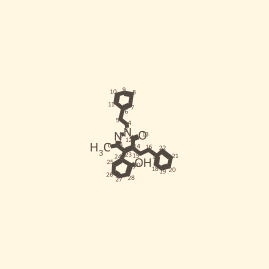 Cc1nn(CCc2ccccc2)c(=O)c(CCc2ccccc2)c1-c1ccccc1O